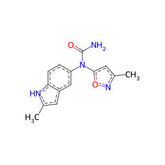 Cc1cc(N(C(N)=O)c2ccc3[nH]c(C)cc3c2)on1